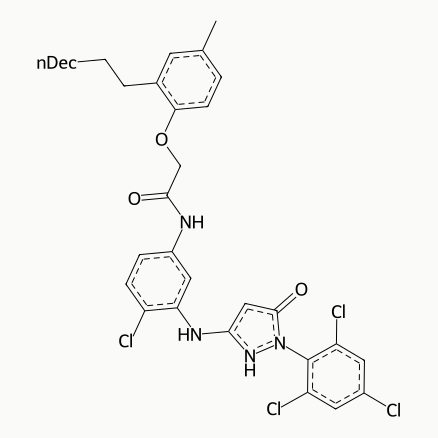 CCCCCCCCCCCCc1cc(C)ccc1OCC(=O)Nc1ccc(Cl)c(Nc2cc(=O)n(-c3c(Cl)cc(Cl)cc3Cl)[nH]2)c1